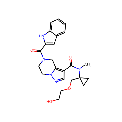 CN(C(=O)c1cnn2c1CN(C(=O)c1cc3ccccc3[nH]1)CC2)C1(COCCO)CC1